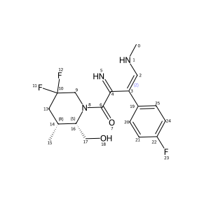 CN/C=C(\C(=N)C(=O)N1CC(F)(F)C[C@@H](C)[C@H]1CO)c1ccc(F)cc1